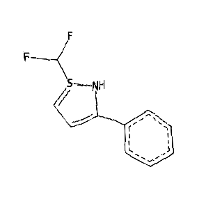 FC(F)S1=CC=C(c2ccccc2)N1